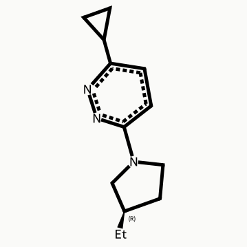 CC[C@@H]1CCN(c2ccc(C3CC3)nn2)C1